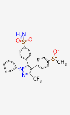 C[S+]([O-])c1ccc(-c2c(C(F)(F)F)nn(-c3ccccc3)c2-c2ccc(S(N)(=O)=O)cc2)cc1